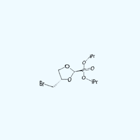 CC(C)OP(=O)(OC(C)C)[C@@H]1OC[C@@H](CBr)O1